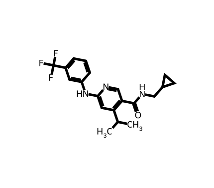 CC(C)c1cc(Nc2cccc(C(F)(F)F)c2)ncc1C(=O)NCC1CC1